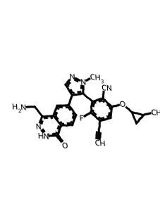 C#Cc1cc(OC2CC2C)c(C#N)c(-c2c(-c3ccc4c(=O)[nH]nc(CN)c4c3)cnn2C)c1F